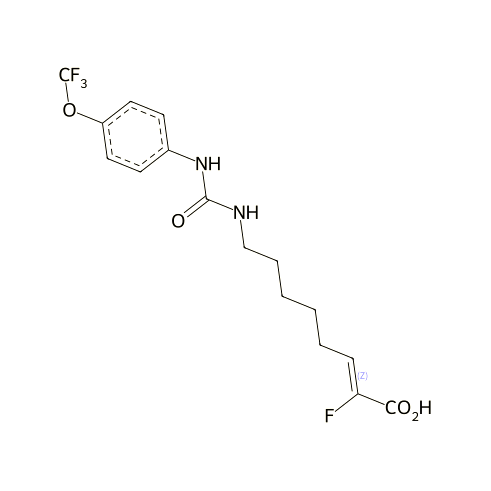 O=C(NCCCCC/C=C(\F)C(=O)O)Nc1ccc(OC(F)(F)F)cc1